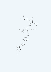 CCCCC(CC)Cc1sc(-c2c3cc(C)sc3c(-c3cc(Cl)c(CC(CC)CCCC)s3)c3cc(-c4sc(-c5ccc(-c6cc(F)c(-c7ccc(-c8sc(C)c9c8C(=O)N(CC(CC)CCCC)C9=O)s7)cc6F)s5)c5c4C(=S)N(CC(CC)CCCC)C5=S)sc23)cc1F